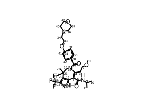 COCCC1=C(C(=O)NC(C)C)c2[nH]nc(C(F)(F)F)c2C(C)(C)CN1C(=O)c1ccc(OCCN2CCOCC2)cc1